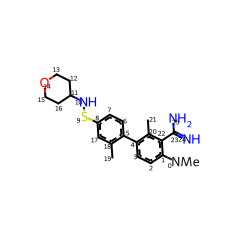 CNc1ccc(-c2ccc(SNC3CCOCC3)cc2C)c(C)c1C(=N)N